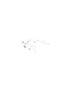 CO[C@H]1C([C@@]2(C)O[C@@H]2CC=C(C)C)[C@]2(CC[C@H]1OC(=O)N1CCC(CCC3CN(CC(F)F)C3)CC1)CO2